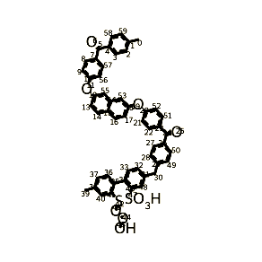 Cc1ccc(C(=O)c2ccc(Oc3ccc4ccc(Oc5ccc(C(=O)c6ccc(Cc7ccc(-c8ccc(C)cc8SOOO)c(S(=O)(=O)O)c7)cc6)cc5)cc4c3)cc2)cc1